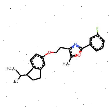 CCC(C(=O)O)C1CCc2cc(OCCc3nc(-c4cccc(F)c4)oc3C)ccc21